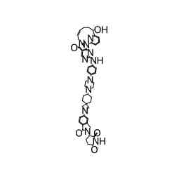 C[C@@]1(O)CC/C=C\Cn2c(=O)c3cnc(Nc4ccc(N5CCN(C6CCC7(CC6)CN(c6ccc8c(c6)CN(C6CCC(=O)NC6=O)C8=O)C7)CC5)cc4)nc3n2-c2cccc1n2